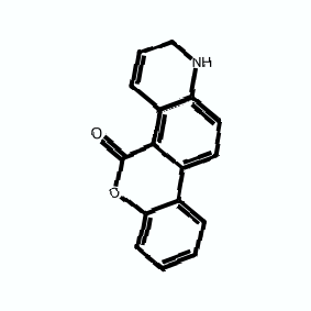 O=c1oc2ccccc2c2ccc3c(c12)C=CCN3